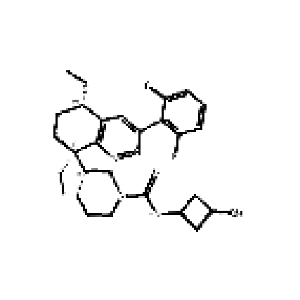 CC[C@H]1CC[C@](CC)([C@H]2CCCN(C(=O)NC3CC(O)C3)C2)c2nnc(-c3c(F)cccc3F)cc21